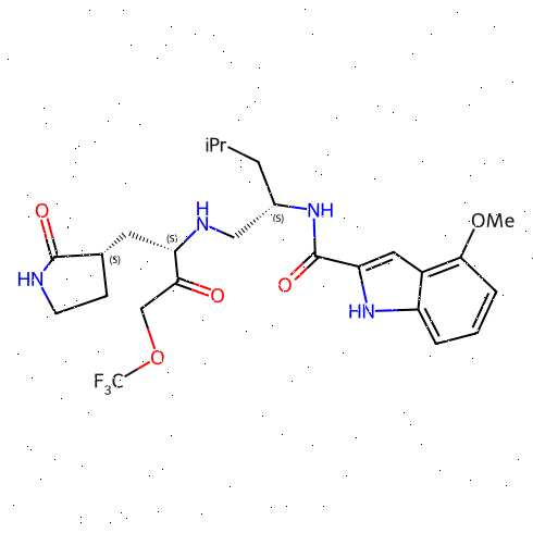 COc1cccc2[nH]c(C(=O)N[C@H](CN[C@@H](C[C@@H]3CCNC3=O)C(=O)COC(F)(F)F)CC(C)C)cc12